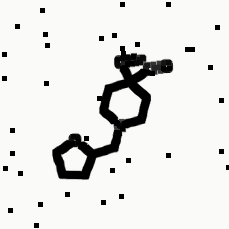 COC1(C=O)CCN(CC2CCCO2)CC1